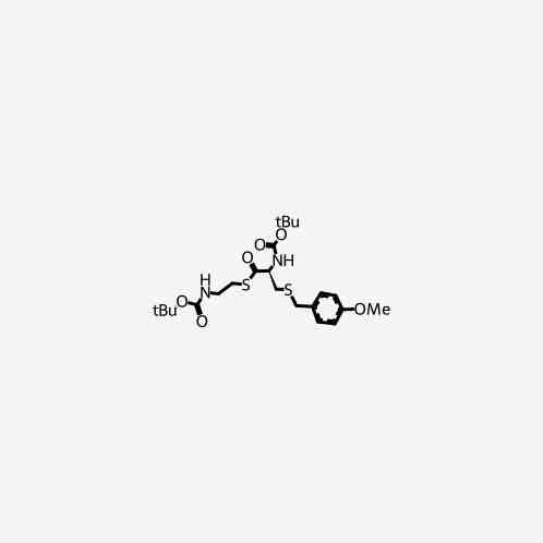 COc1ccc(CSC[C@H](NC(=O)OC(C)(C)C)C(=O)SCCNC(=O)OC(C)(C)C)cc1